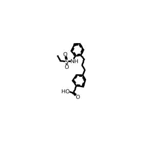 CCS(=O)(=O)Nc1ccccc1CCCc1ccc(C(=O)O)cc1